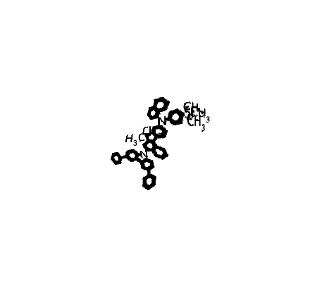 CC1(C)c2cc(N(c3ccc([Si](C)(C)C)cc3)c3cccc4ccccc34)ccc2-c2c1cc(-n1c3ccc(-c4ccccc4)cc3c3cc(-c4ccccc4)ccc31)c1ccccc21